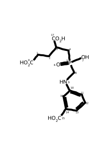 O=C(O)CCC(CP(=O)(O)CNc1cccc(C(=O)O)c1)C(=O)O